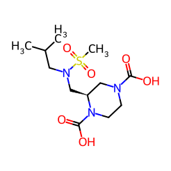 CC(C)CN(C[C@H]1CN(C(=O)O)CCN1C(=O)O)S(C)(=O)=O